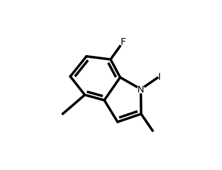 Cc1ccc(F)c2c1cc(C)n2I